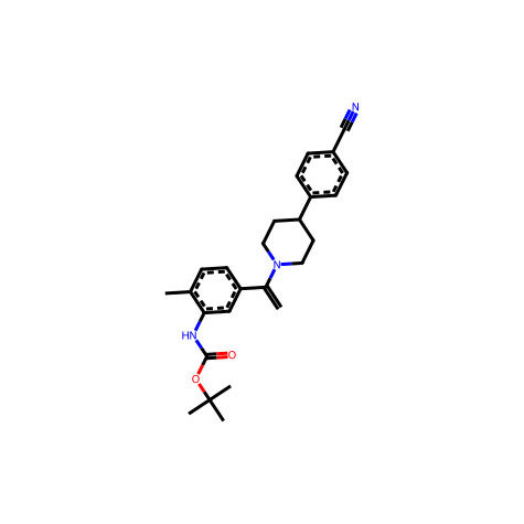 C=C(c1ccc(C)c(NC(=O)OC(C)(C)C)c1)N1CCC(c2ccc(C#N)cc2)CC1